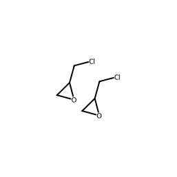 ClCC1CO1.ClCC1CO1